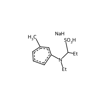 CCC(N(CC)c1cccc(C)c1)S(=O)(=O)O.[NaH]